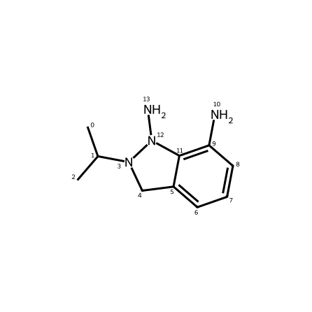 CC(C)N1Cc2cccc(N)c2N1N